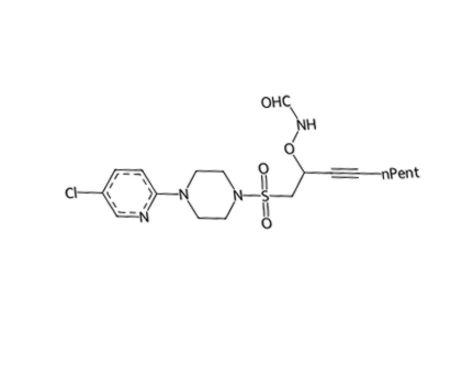 CCCCCC#CC(CS(=O)(=O)N1CCN(c2ccc(Cl)cn2)CC1)ONC=O